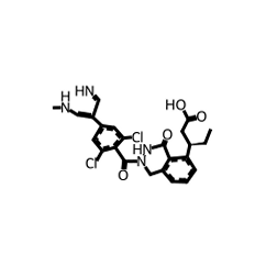 CC[C@H](CC(=O)O)c1cccc2c1C(=O)NN(C(=O)c1c(Cl)cc(/C(C=N)=C/NC)cc1Cl)C2